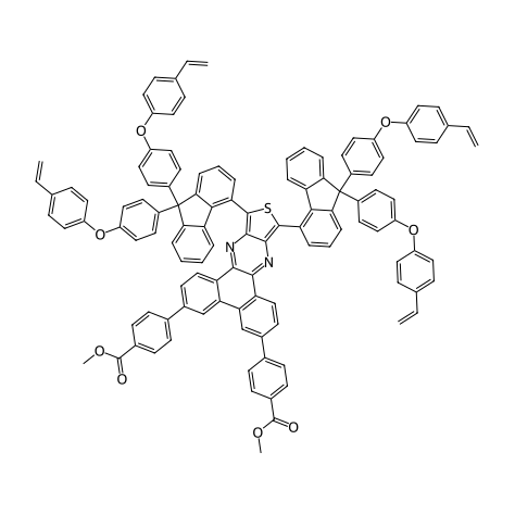 C=Cc1ccc(Oc2ccc(C3(c4ccc(Oc5ccc(C=C)cc5)cc4)c4ccccc4-c4c(-c5sc(-c6cccc7c6-c6ccccc6C7(c6ccc(Oc7ccc(C=C)cc7)cc6)c6ccc(Oc7ccc(C=C)cc7)cc6)c6nc7c8ccc(-c9ccc(C(=O)OC)cc9)cc8c8cc(-c9ccc(C(=O)OC)cc9)ccc8c7nc56)cccc43)cc2)cc1